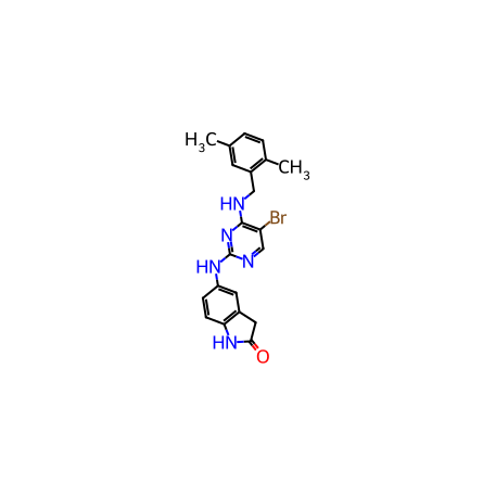 Cc1ccc(C)c(CNc2nc(Nc3ccc4c(c3)CC(=O)N4)ncc2Br)c1